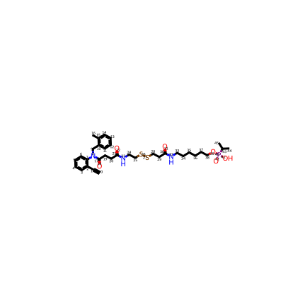 C#Cc1ccccc1N(Cc1ccccc1C)C(=O)CCC(=O)NCCSSCCC(=O)NCCCCCCOP(=O)(O)C(C)C